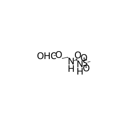 CS(=O)(=O)NC(=O)NCCOC=O